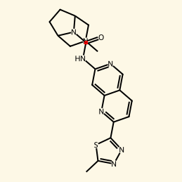 Cc1nnc(-c2ccc3cnc(NC(=O)N4C5CCC4CN(C)C5)cc3n2)s1